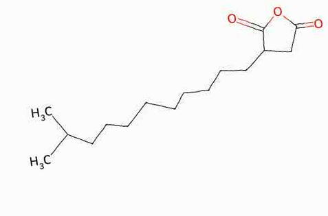 CC(C)CCCCCCCCCC1CC(=O)OC1=O